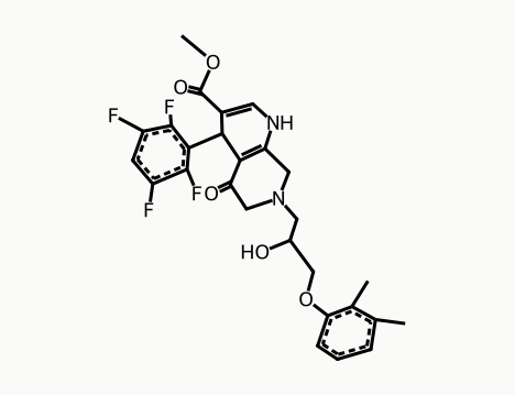 COC(=O)C1=CNC2=C(C(=O)CN(CC(O)COc3cccc(C)c3C)C2)C1c1c(F)c(F)cc(F)c1F